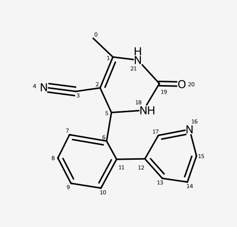 CC1=C(C#N)C(c2ccccc2-c2cccnc2)NC(=O)N1